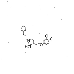 Cl.Clc1ccc(OCCC2CCN(CCCc3ccccc3)CC2)cc1Cl